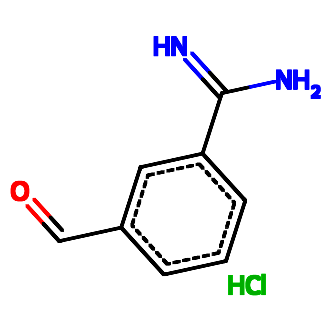 Cl.N=C(N)c1cccc(C=O)c1